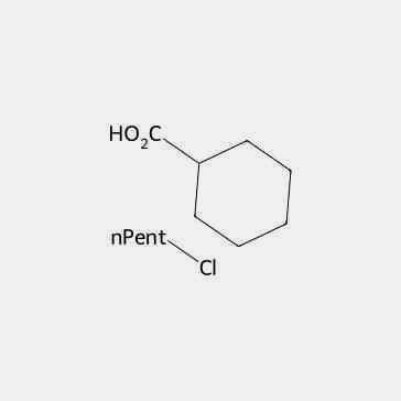 CCCCCCl.O=C(O)C1CCCCC1